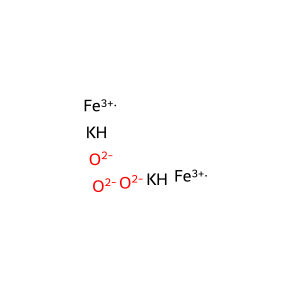 [Fe+3].[Fe+3].[KH].[KH].[O-2].[O-2].[O-2]